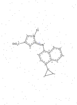 CCOC(=O)c1cn(CC)/c(=N/c2ccc(C3CC3)c3ccccc23)o1